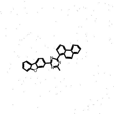 Cc1nc(-c2ccc3c(c2)oc2ccccc23)nc(-c2cccc3c2ccc2ccccc23)n1